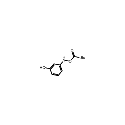 CC(C)(C)C(=O)ONc1cccc(O)c1